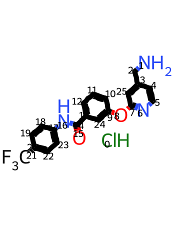 Cl.NCc1ccnc(Oc2cccc(C(=O)Nc3ccc(C(F)(F)F)cc3)c2)c1